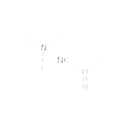 C=C(C)C#N.CN(C)C